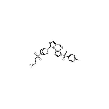 Cc1ccc(S(=O)(=O)n2ccc3c2ncc2cnc(N4CC5CC4CN5S(=O)(=O)CCC(F)(F)F)n23)cc1